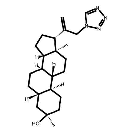 C=C(Cn1cnnn1)[C@H]1CC[C@H]2[C@@H]3CC[C@H]4C[C@](C)(O)CC[C@@H]4[C@H]3CC[C@]12C